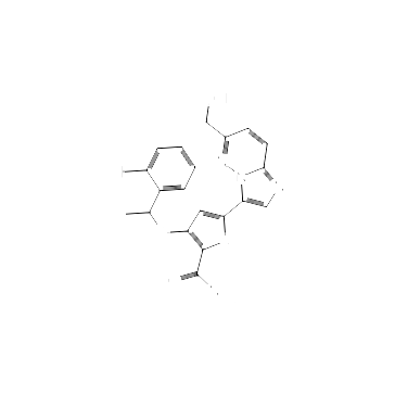 CC(Oc1cc(-c2cnc3ccc(CO)nn23)sc1C(N)=O)c1ccccc1Cl